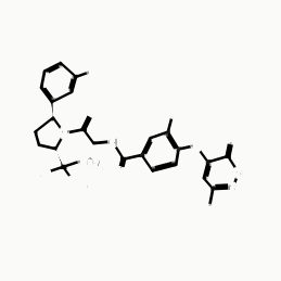 CCOC(=O)C(C)(C)[C@H]1CC[C@@H](c2cccc(Cl)c2)N1C(=O)[C@@H](C)NC(=O)c1ccc(Oc2cc(C)n[nH]c2=O)c(C)c1